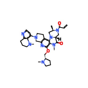 C=CC(=O)N1C[C@@H]2C(=O)N(C)c3c(OC[C@@H]4CCCN4C)nc4c(c3N2C[C@H]1C)CCN(c1ccnc2c1N(C)CCC2)C4